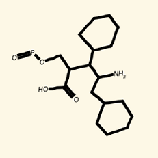 NC(CC1CCCCC1)C(C1CCCCC1)C(COP=O)C(=O)O